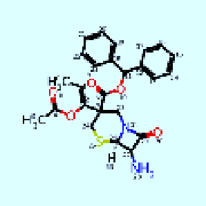 CC=C(OC(C)=O)C1(C(=O)OC(c2ccccc2)c2ccccc2)CS[C@@H]2C(N)C(=O)N2C1